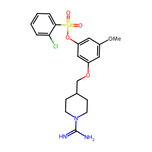 COc1cc(OCC2CCN(C(=N)N)CC2)cc(OS(=O)(=O)c2ccccc2Cl)c1